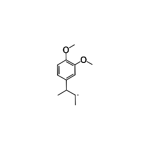 C[CH]C(C)c1ccc(OC)c(OC)c1